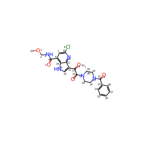 COCNC(=O)c1cc(Cl)nc2c(C(=O)C(=O)N3CCN(C(=O)c4ccccc4)C[C@H]3C)c[nH]c12